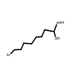 CCCCCCC(O)CCCCCCCC(C)=O